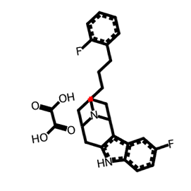 Fc1ccc2[nH]c3c(c2c1)C1CCCC(C3)N1CCCCc1ccccc1F.O=C(O)C(=O)O